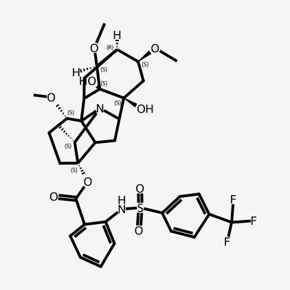 CO[C@H]1C[C@]2(O)C3CC4C5(C6C[C@H]1[C@H](OC)[C@@]62O)[C@@H](OC)CC[C@@]4(OC(=O)c1ccccc1NS(=O)(=O)c1ccc(C(F)(F)F)cc1)[C@H](C)N35